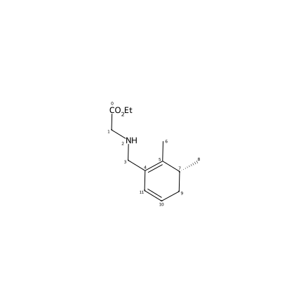 CCOC(=O)CNCC1=C(C)[C@H](C)CC=C1